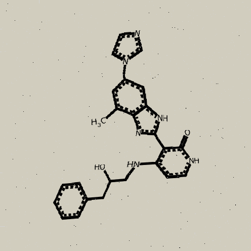 Cc1cc(-n2ccnc2)cc2[nH]c(-c3c(NCC(O)Cc4ccccc4)cc[nH]c3=O)nc12